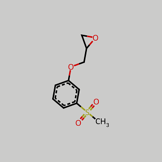 CS(=O)(=O)c1cccc(OCC2CO2)c1